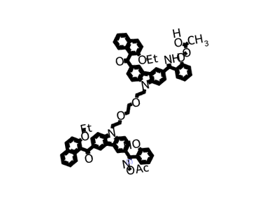 CCOc1ccc2ccccc2c1C(=O)c1ccc2c(c1)c1cc(C(=N)c3ccccc3OOC(C)O)ccc1n2CCOCCOCCn1c2ccc(C(=O)c3c(OCC)ccc4ccccc34)cc2c2cc(/C(=N/OC(C)=O)c3ccccc3O)ccc21